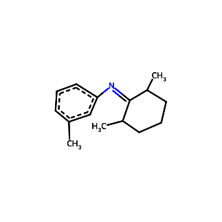 Cc1cccc(N=C2C(C)CCCC2C)c1